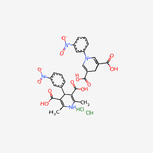 CC1=C(C(=O)O)C(c2cccc([N+](=O)[O-])c2)C(C(=O)O)=C(C)N1.Cl.Cl.O=C(O)C1=CN(c2cccc([N+](=O)[O-])c2)C=C(C(=O)O)C1